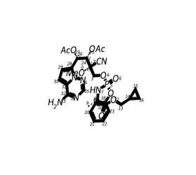 CO[C@](C#N)(COP(=O)(N[C@@H](C)C(=O)OCC1CC1)Oc1ccccc1)[C@@H](OC(C)=O)[C@@H](OC(C)=O)c1ccc2c(N)ncnn12